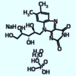 Cc1cc2nc3c(=O)[nH]c(=O)nc-3n(C[C@H](O)[C@H](O)[C@H](O)CO)c2cc1C.O.O.O=P(O)(O)O.[NaH]